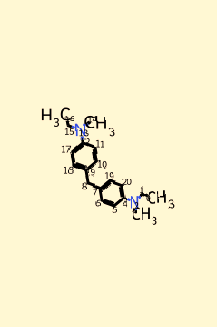 CCN(C)c1ccc(Cc2ccc(N(C)CC)cc2)cc1